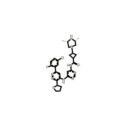 C[C@@H]1CN(C2CC(C(=O)Nc3cc(Nc4cc(-c5cc(Cl)ccc5F)nnc4C4CCCS4)ncn3)C2)C[C@H](C)N1